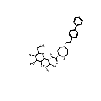 CSC1O[C@H]([C@H](NC(=O)[C@@H]2CC[C@H](CCc3ccc(-c4ccccc4)cc3)CCN2)[C@H](C)Cl)C(O)C(O)[C@H]1O